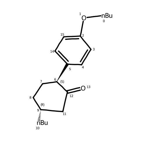 CCCCOc1ccc([C@@H]2CC[C@@H](CCCC)CC2=O)cc1